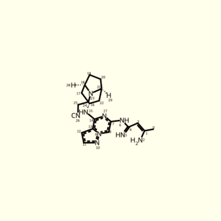 C/C(N)=C/C(=N)Nc1cn2nccc2c(N[C@@H]2C[C@H]3CC[C@@H](C2)N3CCC#N)n1